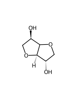 O[C@@H]1CO[C@H]2C1OC[C@@H]2O